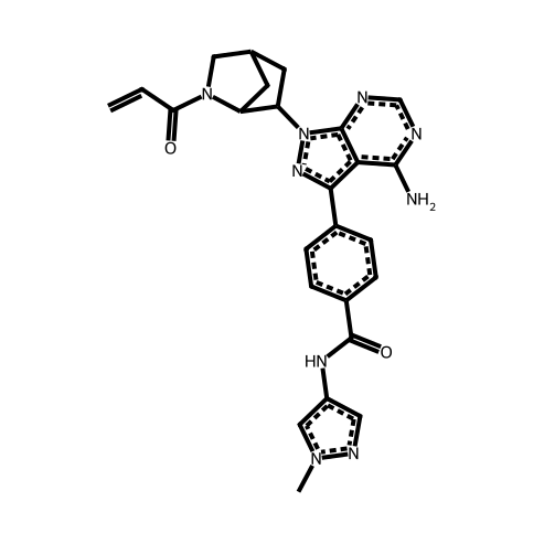 C=CC(=O)N1CC2CC1C(n1nc(-c3ccc(C(=O)Nc4cnn(C)c4)cc3)c3c(N)ncnc31)C2